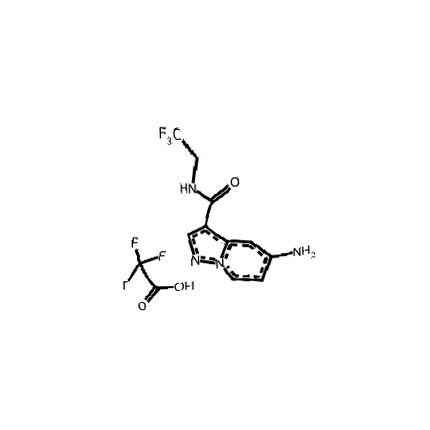 Nc1ccn2ncc(C(=O)NCC(F)(F)F)c2c1.O=C(O)C(F)(F)F